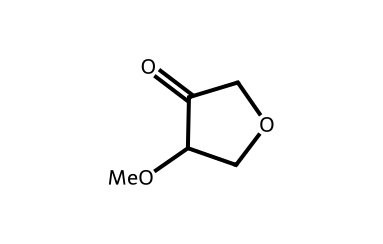 COC1COCC1=O